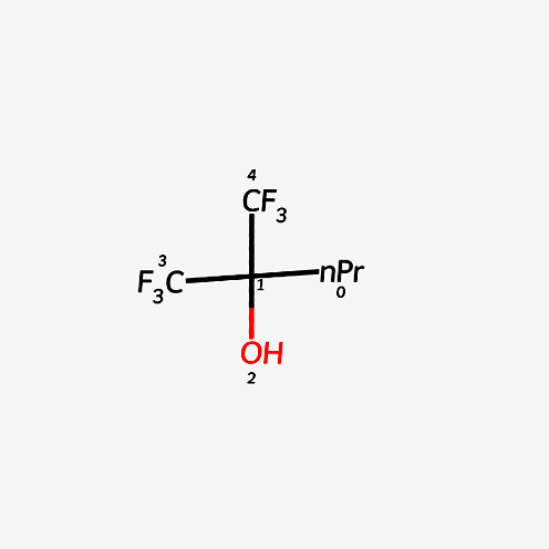 C[CH]CC(O)(C(F)(F)F)C(F)(F)F